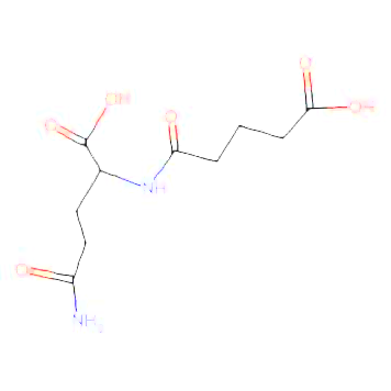 NC(=O)CCC(NC(=O)CCCC(=O)O)C(=O)O